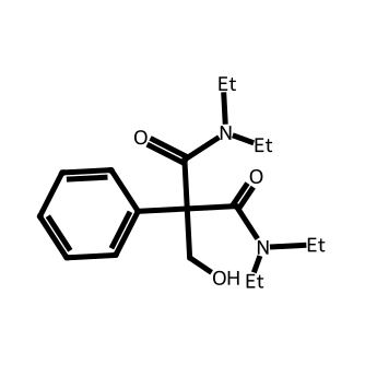 CCN(CC)C(=O)C(CO)(C(=O)N(CC)CC)c1ccccc1